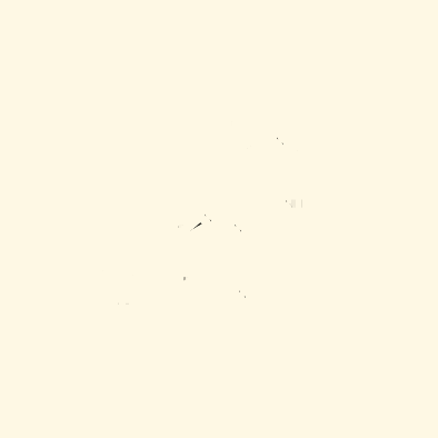 N#C[C@@H]1CS(O)(O)CC[C@H]1n1cc(C(N)=O)c(Nc2ccc(F)cc2)n1